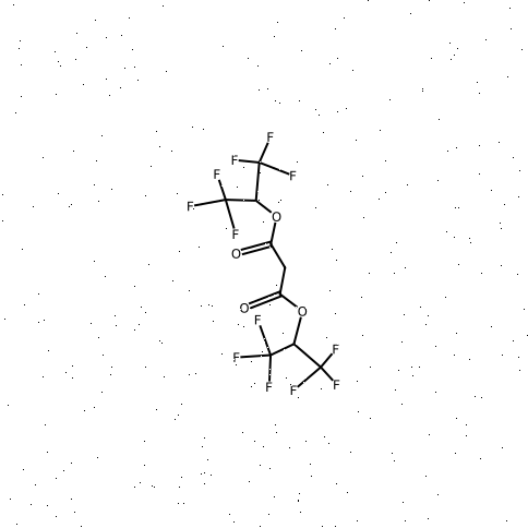 O=C(CC(=O)OC(C(F)(F)F)C(F)(F)F)OC(C(F)(F)F)C(F)(F)F